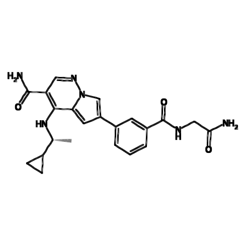 C[C@@H](Nc1c(C(N)=O)cnn2cc(-c3cccc(C(=O)NCC(N)=O)c3)cc12)C1CC1